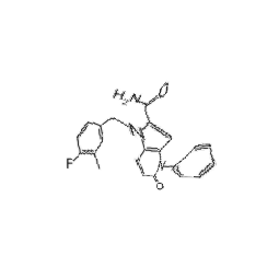 Cc1cc(Cn2c(C(N)=O)cc3c2ccc(=O)n3-c2ccccc2)ccc1F